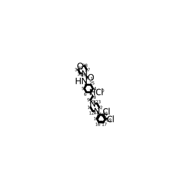 Cl.O=C(N[C@H]1CC[C@H](CCN2CCN(c3cccc(Cl)c3Cl)CC2)CC1)N1CCOCC1